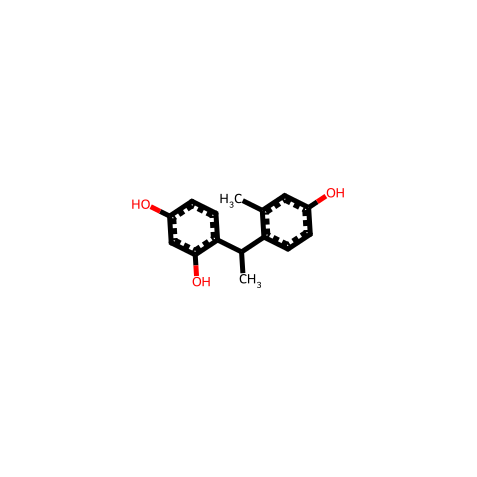 Cc1cc(O)ccc1C(C)c1ccc(O)cc1O